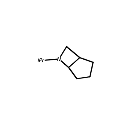 CC(C)N1CC2CCCC21